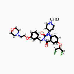 O=CN1CCC(n2c(=O)n(Cc3cccc(OCCN4CCOCC4)c3)c(=O)c3cc(OC(CF)CF)ccc32)CC1